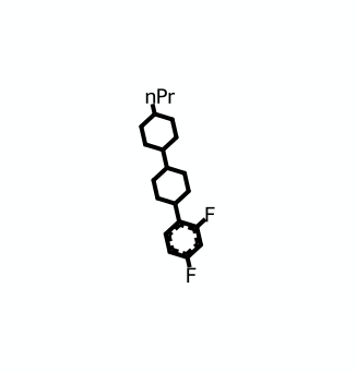 CCCC1CCC(C2CCC(c3ccc(F)cc3F)CC2)CC1